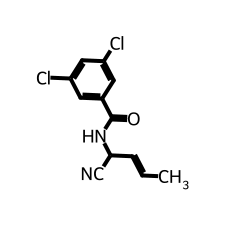 C/C=C/C(C#N)NC(=O)c1cc(Cl)cc(Cl)c1